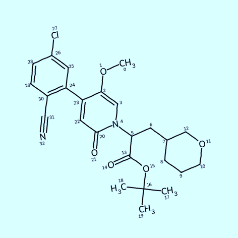 COc1cn(C(CC2CCCOC2)C(=O)OC(C)(C)C)c(=O)cc1-c1cc(Cl)ccc1C#N